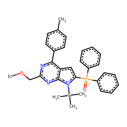 CCOCc1nc(-c2ccc(C)cc2)c2cc(P(=O)(c3ccccc3)c3ccccc3)n([Si](C)(C)C)c2n1